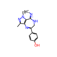 CCn1nc(C)c2c1/C(=N\C#N)NCC(c1ccc(O)cc1)=N2